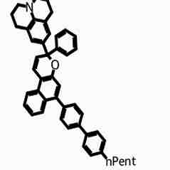 CCCCCc1ccc(-c2ccc(-c3cc4c(c5ccccc35)C=CC(c3ccccc3)(c3cc5c6c(c3)CCCN6CCC5)O4)cc2)cc1